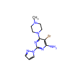 CN1CCN(c2nc(-n3cccn3)nc(N)c2Br)CC1